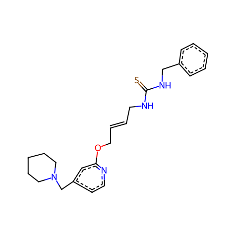 S=C(NCC=CCOc1cc(CN2CCCCC2)ccn1)NCc1ccccc1